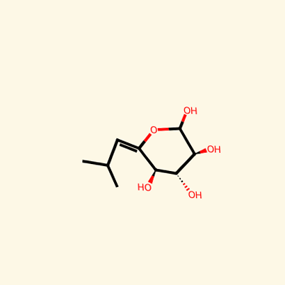 CC(C)/C=C1/OC(O)[C@@H](O)[C@H](O)[C@H]1O